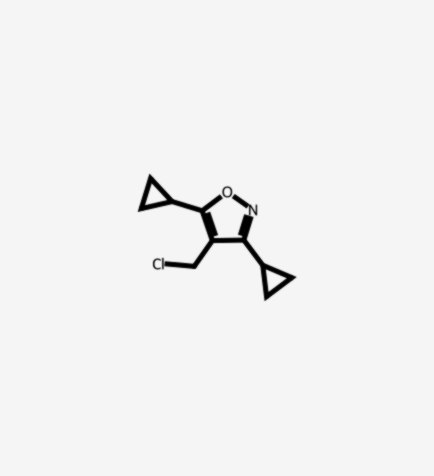 ClCc1c(C2CC2)noc1C1CC1